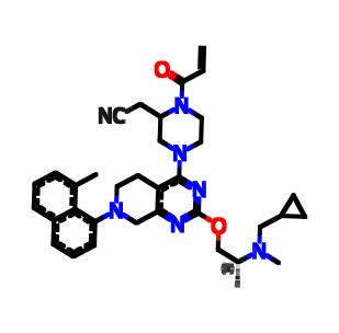 C=CC(=O)N1CCN(c2nc(OC[C@@H](C)N(C)CC3CC3)nc3c2CCN(c2cccc4cccc(C)c24)C3)CC1CC#N